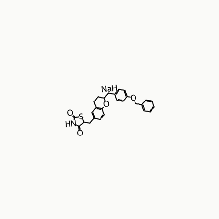 O=C1NC(=O)C(Cc2ccc3c(c2)CCC(Cc2ccc(OCc4ccccc4)cc2)O3)S1.[NaH]